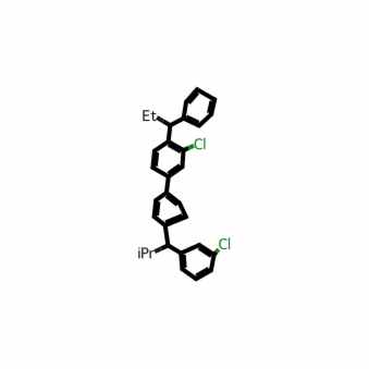 CCC(c1ccccc1)c1ccc(-c2ccc(C(c3cccc(Cl)c3)C(C)C)cc2)cc1Cl